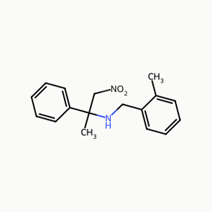 Cc1ccccc1CNC(C)(C[N+](=O)[O-])c1ccccc1